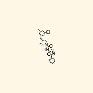 Cc1cc(Cl)cc(/C=C2\CCN(C(=O)Nc3nnc(-c4ccccc4)o3)CC2C)c1